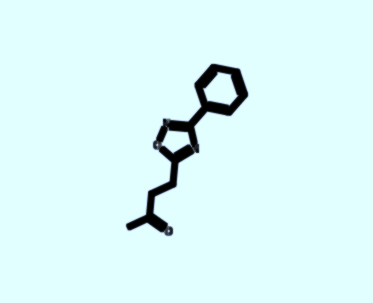 CC(=O)CCc1nc(-c2ccccc2)no1